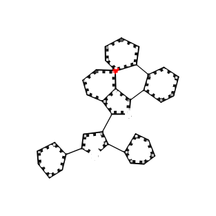 c1ccc(-c2cc(-c3sc(-c4ccccc4-c4ccccc4)c4ccccc34)c(-c3ccccc3)o2)cc1